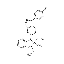 COC(=O)C(C)(CO)C(c1ccccc1)c1ccc2c(cnn2-c2ccc(F)cc2)c1